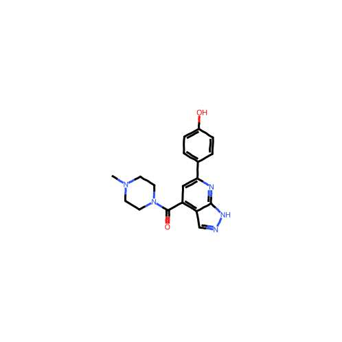 CN1CCN(C(=O)c2cc(-c3ccc(O)cc3)nc3[nH]ncc23)CC1